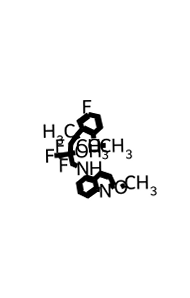 COc1ccc2c(NCC(O)(CC(C)(C)c3cc(F)ccc3OC)C(F)(F)F)cccc2n1